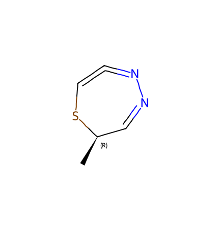 C[C@@H]1C=NN=C=CS1